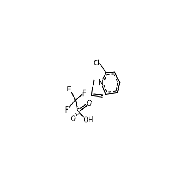 C=CC.Clc1ccccn1.O=S(=O)(O)C(F)(F)F